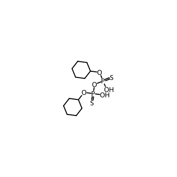 OP(=S)(OC1CCCCC1)OP(O)(=S)OC1CCCCC1